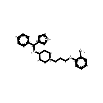 Nc1ccccc1OCCCN1CCC(OC(c2ccccc2)c2ccsc2)CC1